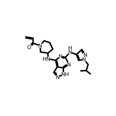 C=CC(=O)N1CCCC(Nc2nc(Nc3cnn(CC(C)C)c3)nc3[nH]ncc23)C1